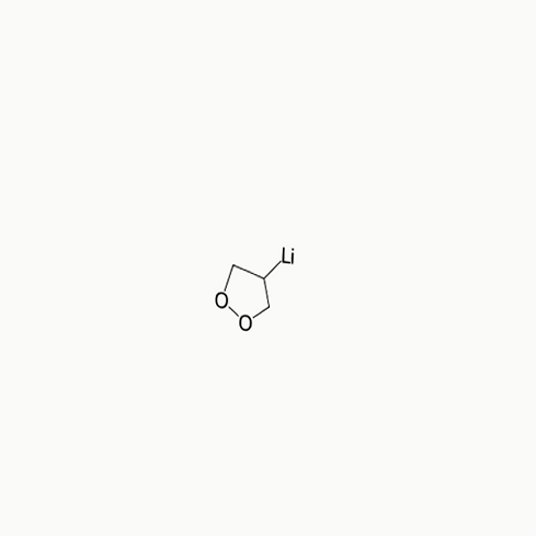 [Li][CH]1COOC1